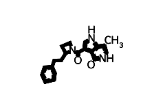 Cc1c[nH]c(=O)c2c(C(=O)N3CCC3CCc3ccccc3)c[nH]c12